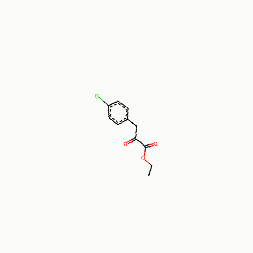 CCOC(=O)C(=O)Cc1ccc(Cl)cc1